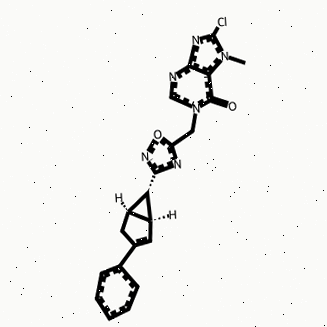 Cn1c(Cl)nc2ncn(Cc3nc([C@@H]4[C@H]5C=C(c6ccccc6)C[C@H]54)no3)c(=O)c21